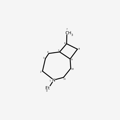 CCN1CCCC2C(C)CC2CC1